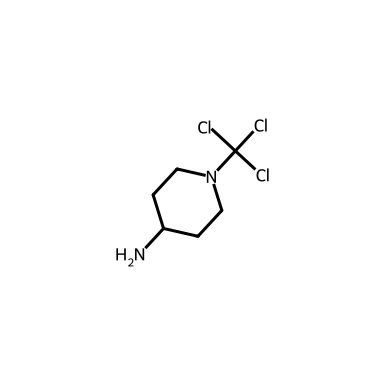 NC1CCN(C(Cl)(Cl)Cl)CC1